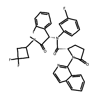 CN(C(=O)[C@H](c1ccccc1I)N(C(=O)[C@@H]1CCC(=O)N1c1nccc2ccccc12)c1cccc(F)c1)C1CC(F)(F)C1